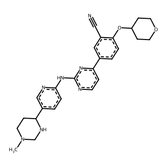 CN1CCC(c2ccc(Nc3nccc(-c4ccc(OC5CCOCC5)c(C#N)c4)n3)nc2)NC1